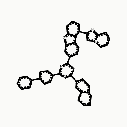 c1ccc(-c2ccc(-c3nc(-c4ccc5ccccc5c4)nc(-c4ccc5c(c4)oc4cccc(-c6cn7ccccc7n6)c45)n3)cc2)cc1